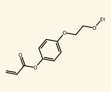 C=CC(=O)Oc1ccc(OCCOCC)cc1